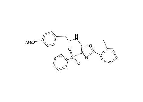 COc1ccc(CCNc2oc(-c3ccccc3C)nc2S(=O)(=O)c2ccccc2)cc1